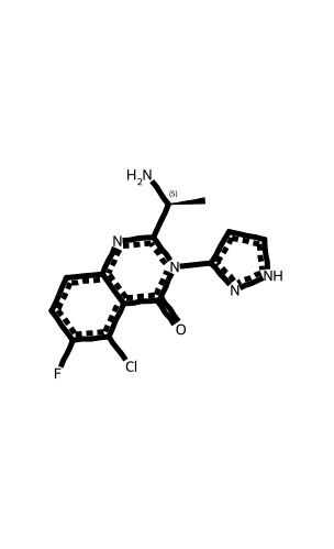 C[C@H](N)c1nc2ccc(F)c(Cl)c2c(=O)n1-c1cc[nH]n1